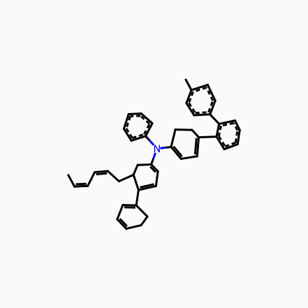 C/C=C\C=C/CC1CC(N(C2=CC=C(c3ccccc3-c3ccc(C)cc3)CC2)c2ccccc2)=CC=C1C1=CC=CCC1